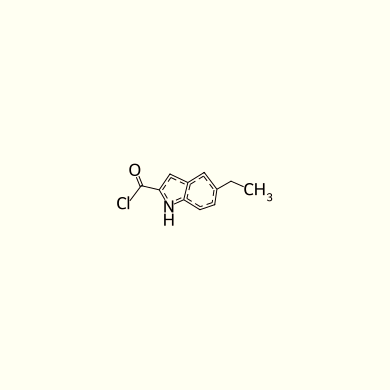 CCc1ccc2[nH]c(C(=O)Cl)cc2c1